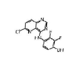 Oc1ccc(Nc2ncnc3ccc(Cl)nc23)c(F)c1F